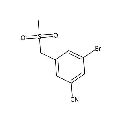 CS(=O)(=O)Cc1cc(Br)cc(C#N)c1